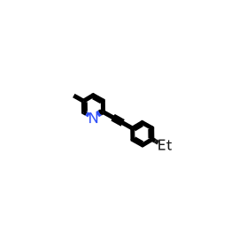 CCc1ccc(C#Cc2ccc(C)cn2)cc1